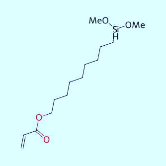 C=CC(=O)OCCCCCCCCC[SiH](OC)OC